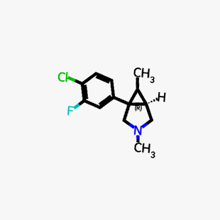 CC1[C@H]2CN(C)CC12c1ccc(Cl)c(F)c1